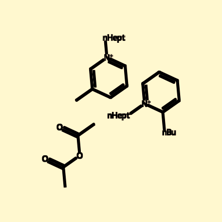 CC(=O)OC(C)=O.CCCCCCC[n+]1cccc(C)c1.CCCCCCC[n+]1ccccc1CCCC